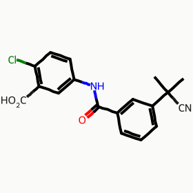 CC(C)(C#N)c1cccc(C(=O)Nc2ccc(Cl)c(C(=O)O)c2)c1